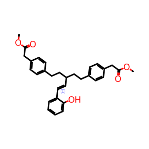 COC(=O)Cc1ccc(CCC(/C=C/c2ccccc2O)CCc2ccc(CC(=O)OC)cc2)cc1